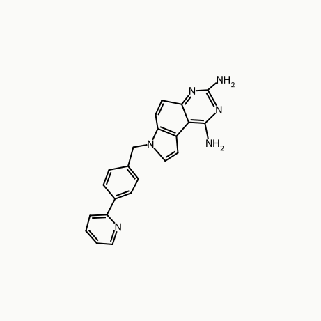 Nc1nc(N)c2c(ccc3c2ccn3Cc2ccc(-c3ccccn3)cc2)n1